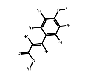 [2H]OC(=O)C(C#N)=C([2H])c1c([2H])c([2H])c(O[2H])c([2H])c1[2H]